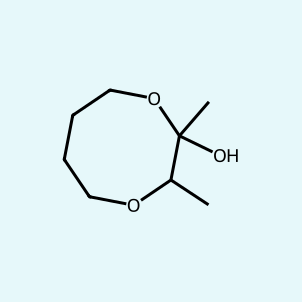 CC1OCCCCOC1(C)O